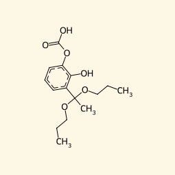 CCCOC(C)(OCCC)c1cccc(OC(=O)O)c1O